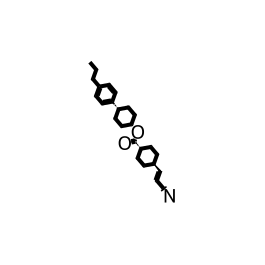 CCCc1ccc([C@H]2CC[C@H](OC(=O)[C@H]3CC[C@H](C=CC#N)CC3)CC2)cc1